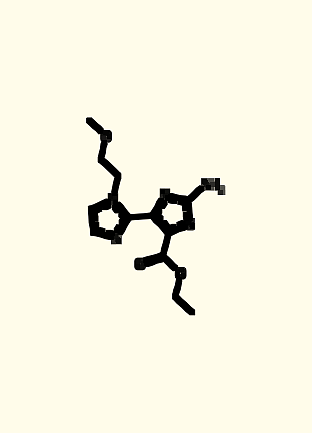 CCOC(=O)c1sc(N)nc1-c1nccn1CCOC